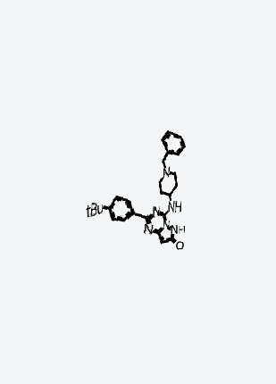 CC(C)(C)c1ccc(-c2nc(NC3CCN(Cc4ccccc4)CC3)n3[nH]c(=O)cc3n2)cc1